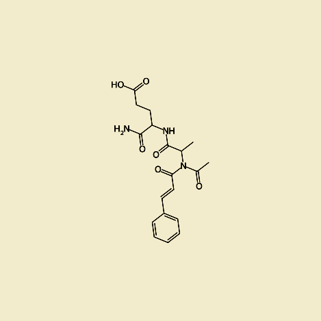 CC(=O)N(C(=O)C=Cc1ccccc1)C(C)C(=O)NC(CCC(=O)O)C(N)=O